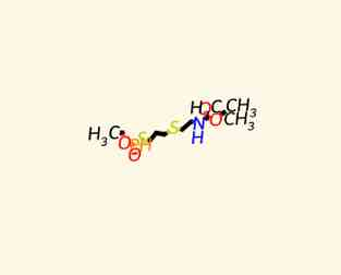 CCO[PH](=O)SCCCSCCNC(=O)OC(C)(C)C